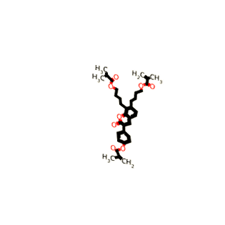 C=C(C)C(=O)OCCCCc1ccc2cc(-c3ccc(OC(=O)C(=C)C)cc3)c(=O)oc2c1CCCCOC(=O)C(C)C